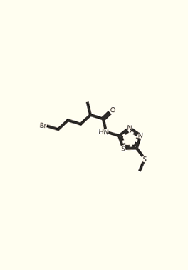 CSc1nnc(NC(=O)C(C)CCCBr)s1